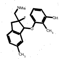 CNCC1(F)Cc2ccc(C)cc2C1Oc1cccc(O)c1C